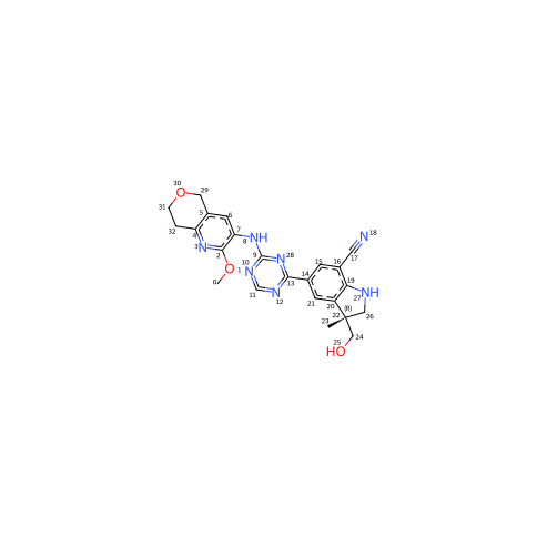 COc1nc2c(cc1Nc1ncnc(-c3cc(C#N)c4c(c3)[C@@](C)(CO)CN4)n1)COCC2